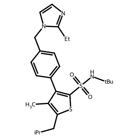 CCc1nccn1Cc1ccc(-c2c(S(=O)(=O)NC(C)(C)C)sc(CC(C)C)c2C)cc1